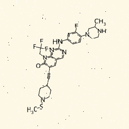 CSN1CCC(C#Cc2cc3cnc(Nc4ccc(N5CCNC(C)C5)c(F)c4)nc3n(CC(F)(F)F)c2=O)CC1